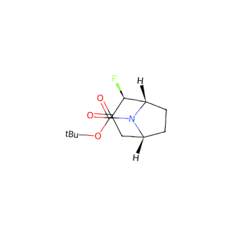 CC(C)(C)OC(=O)N1[C@@H]2CC[C@H]1[C@H](F)C(=O)C2